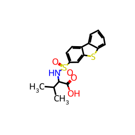 CC(C)C(NS(=O)(=O)c1ccc2c(c1)sc1ccccc12)C(=O)O